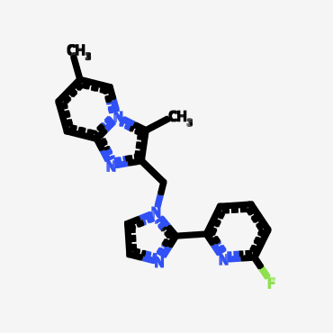 Cc1ccc2nc(Cn3ccnc3-c3cccc(F)n3)c(C)n2c1